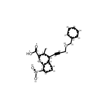 Cc1c(C(=O)O)nc2c([N+](=O)[O-])cccc2c1C#CCOCc1ccccc1